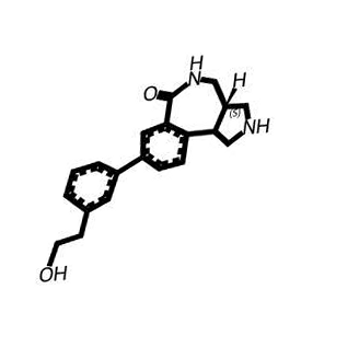 O=C1NC[C@@H]2CNCC2c2ccc(-c3cccc(CCO)c3)cc21